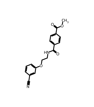 COC(=O)c1ccc(C(=O)NCCOc2cccc(C#N)c2)cc1